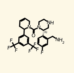 NCc1cc(F)ccc1[C@H]1CNCCN1C(=O)N1CC=CCC1c1cc(C(F)(F)F)cc(C(F)(F)F)c1